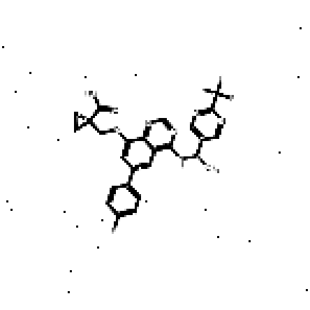 C[C@@H](Nc1ncnc2c(OCC3(C(=O)O)CC3)cc(-c3ccc(F)cc3)cc12)c1cnc(C(F)(F)F)nc1